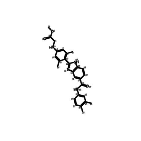 COC(=O)CNc1cc(C)c(-c2nc3cc(C(=O)Nc4ccc(C)c(C)c4)ccc3[nH]2)c(C)c1